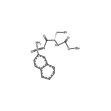 CC(C)C[C@H](NC(=O)OC(C)(C)C)C(=O)N=S(N)(=O)c1ccc2ccccc2c1